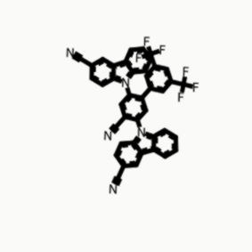 N#Cc1ccc2c(c1)c1ccccc1n2-c1cc(-c2cc(C(F)(F)F)cc(C(F)(F)F)c2)c(-n2c3ccccc3c3cc(C#N)ccc32)cc1C#N